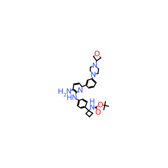 CC(C)(C)OC(=O)NC1(c2ccc(Nc3nc(-c4cccc(N5CCN(C6COC6)CC5)c4)ccc3N)cc2)CCC1